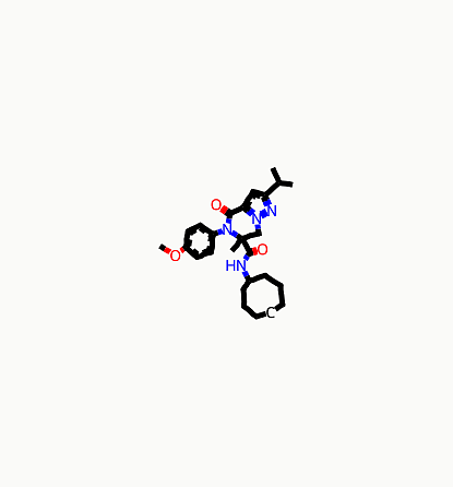 COc1ccc(N2C(=O)c3cc(C(C)C)nn3CC2(C)C(=O)NC2CCCCCCC2)cc1